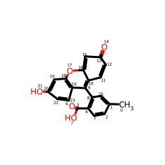 Cc1ccc(C(=O)O)c(-c2c3ccc(=O)cc-3oc3cc(O)ccc23)c1